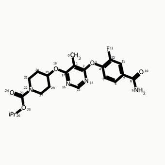 Cc1c(Oc2ccc(C(N)=O)cc2F)ncnc1OC1CCN(C(=O)OC(C)C)CC1